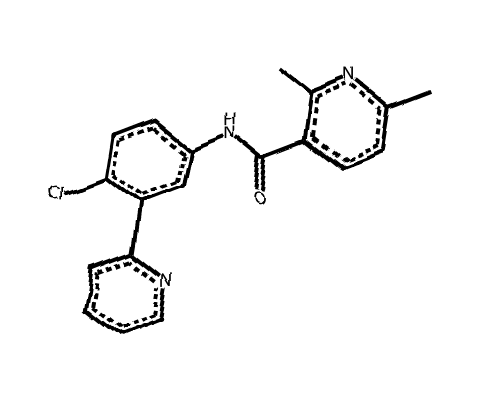 Cc1ccc(C(=O)Nc2ccc(Cl)c(-c3ccccn3)c2)c(C)n1